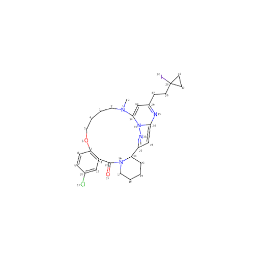 CN1CCCCOc2ccc(Cl)cc2C(=O)N2CCCCC2c2cc3nc(CCC4(I)CC4)cc1n3n2